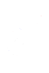 C/C=C(/C(C)=O)c1cc(C(=O)N2CCC(CC(=O)O)CC2)ccc1C